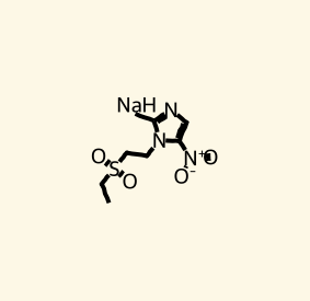 CCS(=O)(=O)CCn1c([N+](=O)[O-])cnc1C.[NaH]